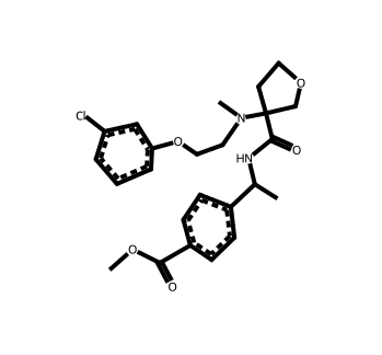 COC(=O)c1ccc(C(C)NC(=O)C2(N(C)CCOc3cccc(Cl)c3)CCOC2)cc1